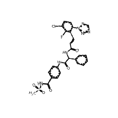 CS(=O)(=O)NC(=O)c1ccc(NC(=O)C(NC(=O)C=Cc2c(-n3ncnn3)ccc(Cl)c2F)c2ccccc2)cc1